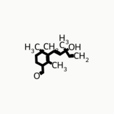 C=CC(C)(O)C=CC1=C(C)C(C=O)CCC1(C)C